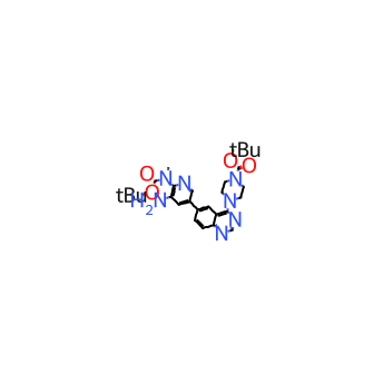 CN(C(=O)OC(C)(C)C)c1ncc(-c2ccc3ncnc(N4CCN(C(=O)OC(C)(C)C)CC4)c3c2)cc1N